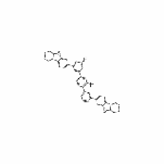 Fc1cc(-c2ccc(-c3cccc(-c4ccc5c(c4)sc4ccccc45)c3)c(F)c2)cc(-c2ccc3c(c2)sc2ccccc23)c1